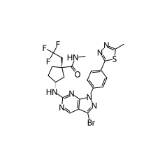 CNC(=O)[C@@]1(CC(F)(F)F)CC[C@@H](Nc2ncc3c(Br)nn(-c4ccc(-c5nnc(C)s5)cc4)c3n2)C1